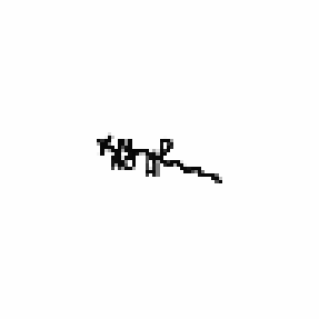 CCCCCCCC(=O)NCc1nc(C(C)(C)C)no1